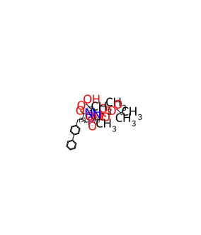 CC(OC(=O)N[C@@H](C)P(=O)(O)C[C@@H](Cc1ccc(-c2ccccc2)cc1)C(=O)N[C@@H](C)C(=O)O)OC(=O)C(C)C